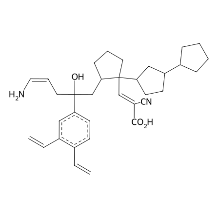 C=Cc1ccc(C(O)(C/C=C\N)CC2CCCC2(/C=C(\C#N)C(=O)O)C2CCC(C3CCCC3)C2)cc1C=C